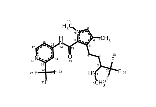 CNC(CCc1c(C)cn(C)c1C(=O)Nc1ccnc(C(F)(F)F)c1)C(F)(F)F